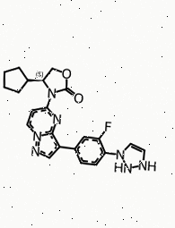 O=C1OC[C@H](C2CCCC2)N1c1ccn2ncc(-c3ccc(N4C=CNN4)c(F)c3)c2n1